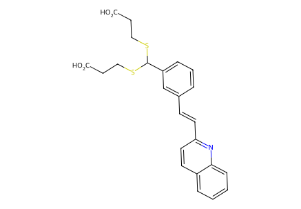 O=C(O)CCSC(SCCC(=O)O)c1cccc(/C=C/c2ccc3ccccc3n2)c1